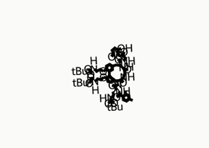 Cc1ccc(C(=O)N[C@@H](CCNC(=O)OC(C)(C)C)C(=O)N(C)[C@@H]2C(=O)N[C@@H](C)C(=O)N[C@H](C(=O)N[C@@H](C)C(=O)ON3C(=O)CCC3O)Cc3ccc(OCCNC(=O)OC(C)(C)C)c(c3)-c3cc2ccc3OCCNC(=O)OC(C)(C)C)c(C)c1